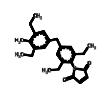 CCc1cc(Cc2cc(CC)c(N3C(=O)C=CC3=O)c(CC)c2)cc(CC)c1C